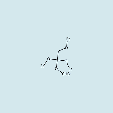 CCOCC(O[C]=O)(OCC)OCC